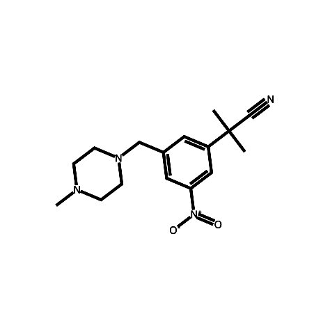 CN1CCN(Cc2cc([N+](=O)[O-])cc(C(C)(C)C#N)c2)CC1